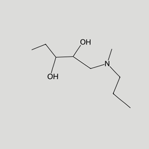 CCCN(C)CC(O)C(O)CC